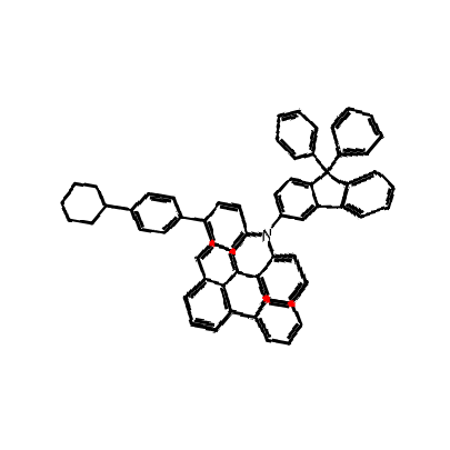 c1ccc(-c2cccc3cccc(-c4ccccc4N(c4ccc(-c5ccc(C6CCCCC6)cc5)cc4)c4ccc5c(c4)-c4ccccc4C5(c4ccccc4)c4ccccc4)c23)cc1